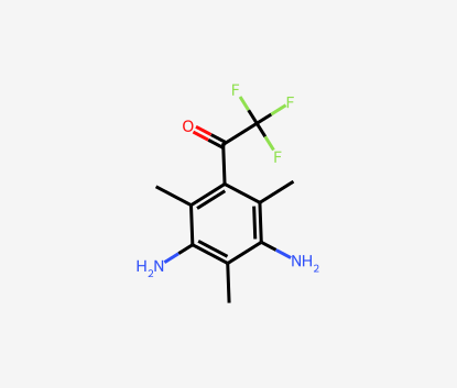 Cc1c(N)c(C)c(C(=O)C(F)(F)F)c(C)c1N